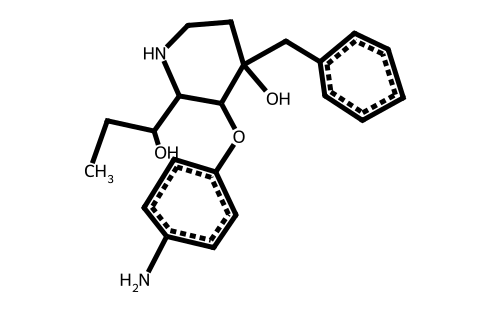 CCC(O)C1NCCC(O)(Cc2ccccc2)C1Oc1ccc(N)cc1